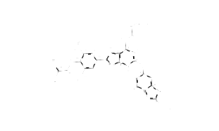 CCCOc1nc(Oc2ccc3sc(C)nc3c2)nc2oc(-c3cc(C)c(OCC(=O)O)c(C)c3)nc12